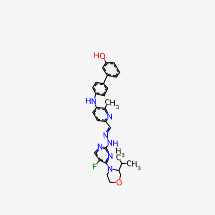 Cc1nc(/C=N/Nc2ncc(F)c(N3CCOCC3C(C)C)n2)ccc1Nc1ccc(-c2cccc(O)c2)cc1